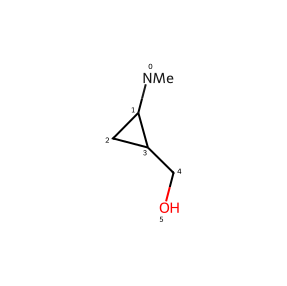 CNC1CC1CO